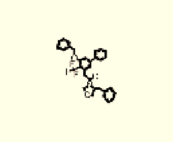 O=C(Cc1cc(-c2ccccc2)cc(OCc2ccccc2)c1C(F)(F)F)N1COCC1Cc1ccccc1